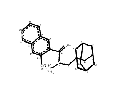 CN(CC12CC3CC(CC(C3)C1)C2)C(=O)c1cc2ccccc2cc1C(=O)O